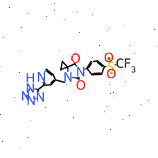 O=C1N(c2ccc(S(=O)(=O)C(F)(F)F)cc2)C(=O)C2(CC2)N1Cc1ccnc(-c2nnn[nH]2)c1